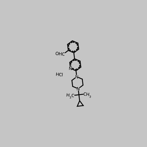 CC(C)(C1CC1)N1CCN(c2ccc(-c3ccccc3C=O)cn2)CC1.Cl